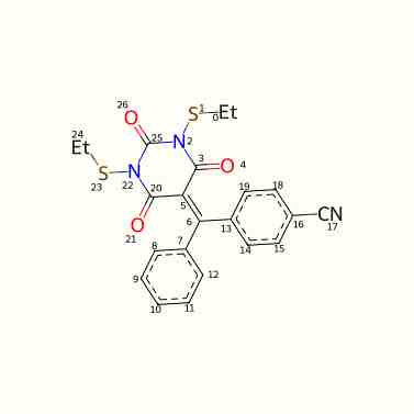 CCSN1C(=O)C(=C(c2ccccc2)c2ccc(C#N)cc2)C(=O)N(SCC)C1=O